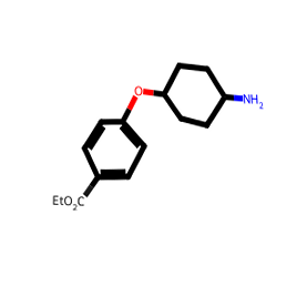 CCOC(=O)c1ccc(OC2CCC(N)CC2)cc1